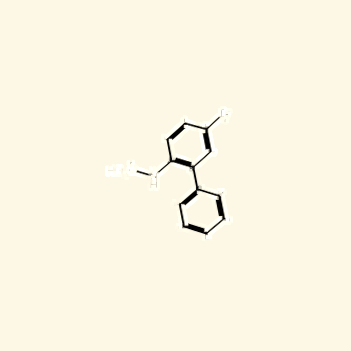 O=C(O)Nc1ccc(Br)cc1-c1ccccc1